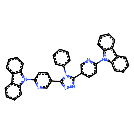 c1ccc(-n2c(-c3ccc(-n4c5ccccc5c5ccccc54)nc3)nnc2-c2ccc(-n3c4ccccc4c4ccccc43)nc2)cc1